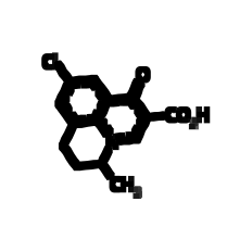 CC1CCc2cc(Cl)cc3c(=O)c(C(=O)O)cn1c23